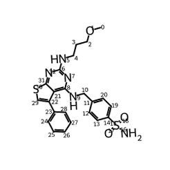 COCCCNc1nc(NCc2ccc(S(N)(=O)=O)cc2)c2c(-c3ccccc3)csc2n1